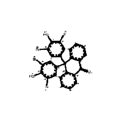 O=C1c2ccccc2C(c2cc(Br)c(O)c(Br)c2)(c2cc(Br)c(O)c(Br)c2)c2ccccc21